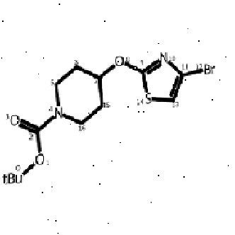 CC(C)(C)OC(=O)N1CCC(Oc2nc(Br)cs2)CC1